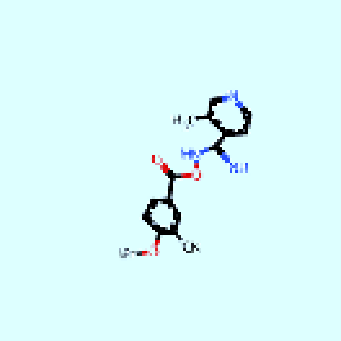 Cc1cnccc1C(=N)NOC(=O)c1ccc(OC(C)C)c(C#N)c1